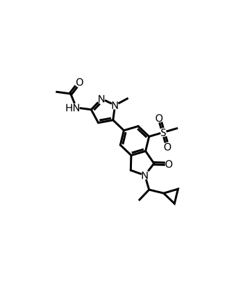 CC(=O)Nc1cc(-c2cc3c(c(S(C)(=O)=O)c2)C(=O)N(C(C)C2CC2)C3)n(C)n1